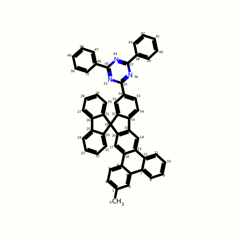 Cc1ccc2c(c1)c1ccccc1c1cc3c(cc21)C1(c2ccccc2-c2ccccc21)c1cc(-c2nc(-c4ccccc4)nc(-c4ccccc4)n2)ccc1-3